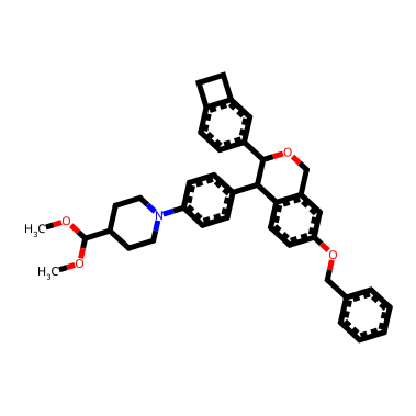 COC(OC)C1CCN(c2ccc(C3c4ccc(OCc5ccccc5)cc4COC3c3ccc4c(c3)CC4)cc2)CC1